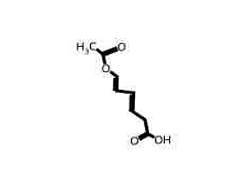 CC(=O)O/C=C/C=C/CC(=O)O